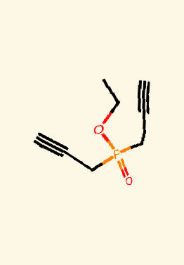 C#CCP(=O)(CC#C)OCC